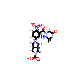 CC(C)NN(CC=O)C(=O)c1cc(N2CC3CN(C(=O)O)CC3C2)ccc1[N+](=O)[O-]